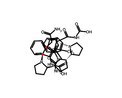 CC1(CC(N)=O)c2ccc(cc2)[C@]1(C(=O)NC(=O)O)N1CCCC1[C@@H]1CC[C@@H](C2CCCN2[C@@]2(C(=O)NC(=O)O)c3ccc(cc3)C2(C)CC(N)=O)N1c1ccccc1